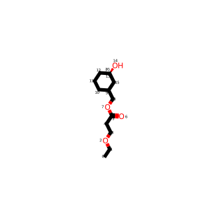 CCOCCC(=O)OCC1CCC[C@@H](O)C1